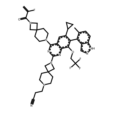 C=C(F)C(=O)N1CC2(CCN(c3nc(N4CC5(CCN(CCC#N)CC5)C4)nc4c(OCC(F)(F)F)c(-c5c(C)ccc6[nH]ncc56)c(C5CC5)cc34)CC2)C1